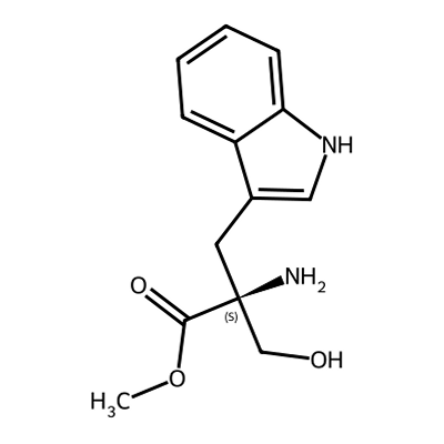 COC(=O)[C@@](N)(CO)Cc1c[nH]c2ccccc12